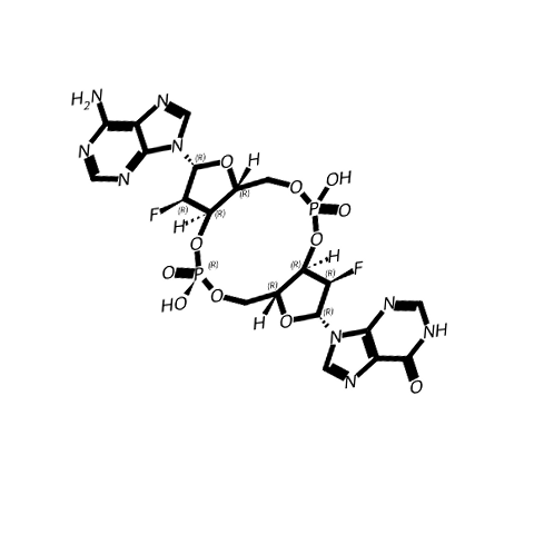 Nc1ncnc2c1ncn2[C@@H]1O[C@@H]2COP(=O)(O)O[C@H]3[C@@H](F)[C@H](n4cnc5c(=O)[nH]cnc54)O[C@@H]3CO[P@@](=O)(O)O[C@H]2[C@H]1F